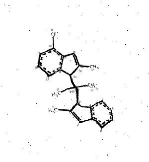 CC1=Cc2ccccc2C1C(C)(C)C1C(C)=Cc2c1cccc2C(F)(F)F